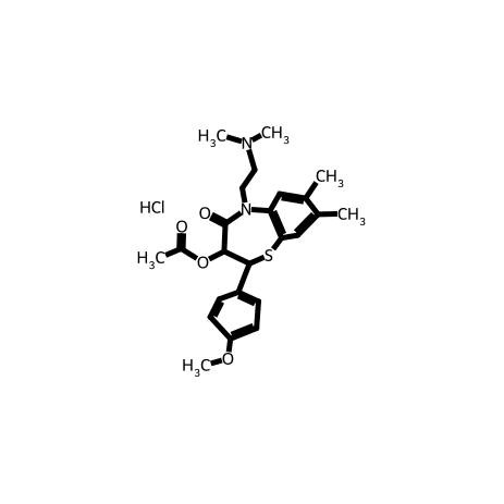 COc1ccc(C2Sc3cc(C)c(C)cc3N(CCN(C)C)C(=O)C2OC(C)=O)cc1.Cl